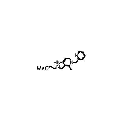 COCCN1CC2=C(C)N(Cc3ccccn3)CC=C2N1